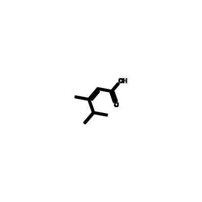 C/C(=C/C(=O)O)C(C)C